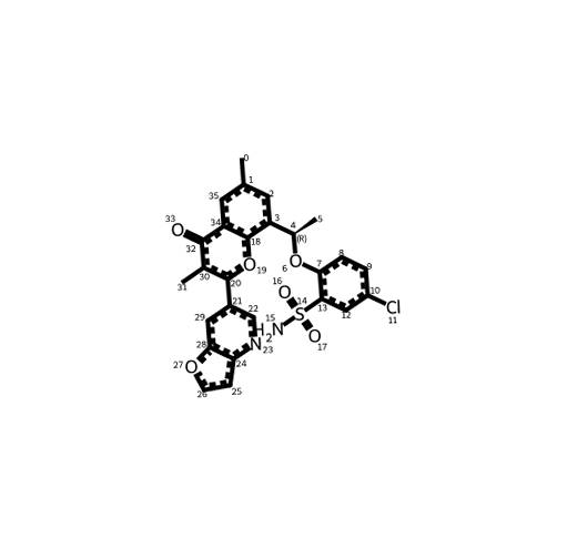 Cc1cc([C@@H](C)Oc2ccc(Cl)cc2S(N)(=O)=O)c2oc(-c3cnc4ccoc4c3)c(C)c(=O)c2c1